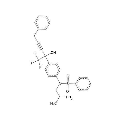 CC(C)CN(c1ccc(C(O)(C#CCc2ccccc2)C(F)(F)F)cc1)S(=O)(=O)c1ccccc1